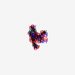 CN[C@@H]1[C@@H](O)[C@@H](O[C@H]2[C@H](NC(=O)[C@@H](O)CNC(=O)OC(C)(C)C)C[C@H](NC(=O)OCc3ccc([N+](=O)[O-])cc3)C([C@H]3OC(CNC(=O)C(F)(F)F)=CC[C@H]3NC(=O)OCc3ccc([N+](=O)[O-])cc3)[C@@H]2O)OC[C@]1(C)O